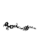 COc1cc(C)c(S(=O)(=O)N(C)CCOCC(=O)NCC2CCC(C(c3cccc(F)c3)N(C)C)CC2)c(C)c1C